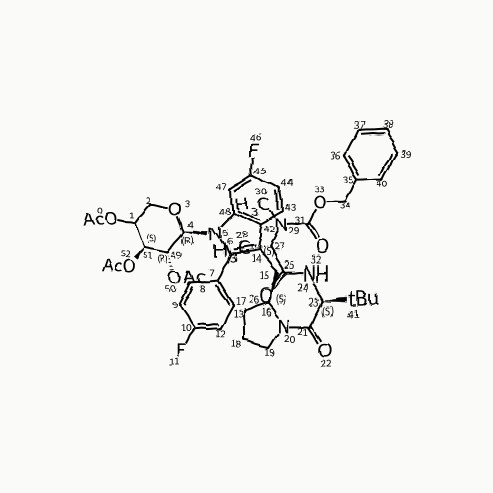 CC(=O)OC1CO[C@@H](n2c(-c3ccc(F)cc3)c(C[C@@H]3CCCN3C(=O)[C@@H](NC(=O)[C@H](C)N(C)C(=O)OCc3ccccc3)C(C)(C)C)c3ccc(F)cc32)[C@H](OC(C)=O)[C@H]1OC(C)=O